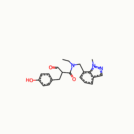 CCN(Cc1cccc2cnn(C)c12)C(=O)C(C=O)Cc1ccc(O)cc1